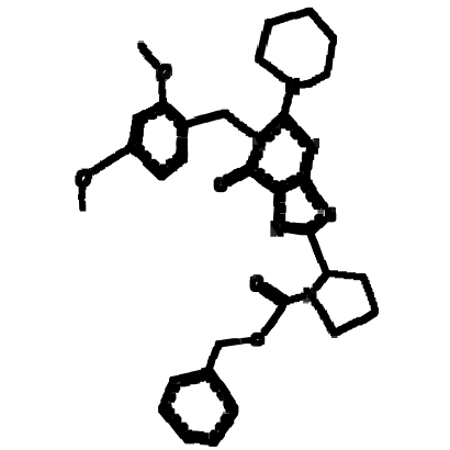 COc1ccc(Cn2c(N3CCCCC3)nc3sc(C4CCCN4C(=O)OCc4ccccc4)nc3c2=O)c(OC)c1